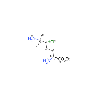 CCOC(=O)[C@@H](N)CCCC(C)(C)N.Cl